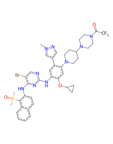 Cn1cc(-c2cc(Nc3ncc(Br)c(Nc4ccc5ccccc5c4P(C)(C)=O)n3)c(OC3CC3)cc2N2CCC(N3CCN(C(=O)C(F)(F)F)CC3)CC2)cn1